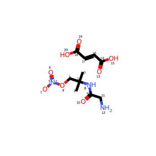 CC(C)(CO[N+](=O)[O-])NC(=O)CN.O=C(O)C=CC(=O)O